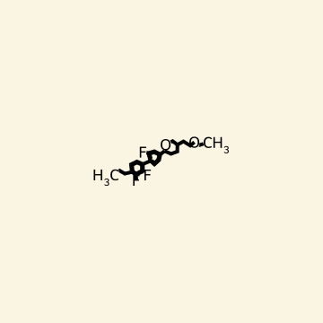 CCCc1ccc(-c2ccc(C3CCC(CCOCC)CO3)cc2F)c(F)c1F